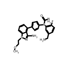 COCCn1nc(N)c2c(-c3ccc(N(C(N)=O)c4cc(CN)ccc4F)cc3)cccc21